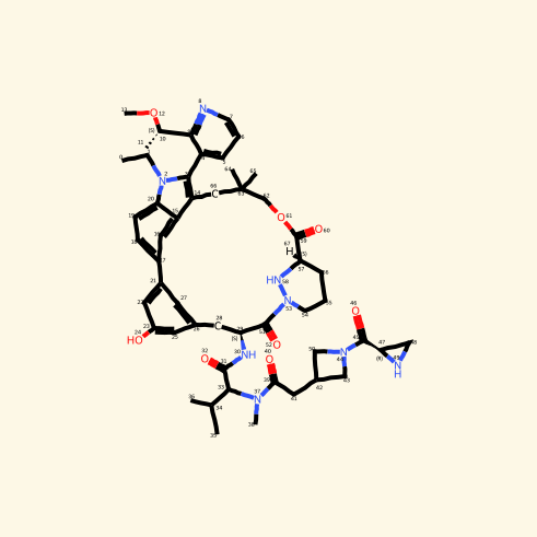 CCn1c(-c2cccnc2[C@H](C)OC)c2c3cc(ccc31)-c1cc(O)cc(c1)C[C@H](NC(=O)C(C(C)C)N(C)C(=O)CC1CN(C(=O)[C@H]3CN3)C1)C(=O)N1CCC[C@H](N1)C(=O)OCC(C)(C)C2